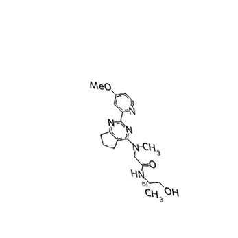 COc1ccnc(-c2nc3c(c(N(C)CC(=O)N[C@@H](C)CO)n2)CCC3)c1